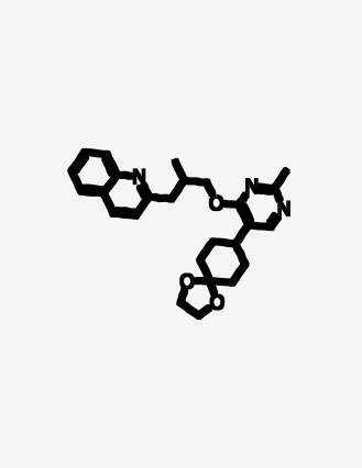 Cc1ncc(C2CCC3(CC2)OCCO3)c(OCC(C)Cc2ccc3ccccc3n2)n1